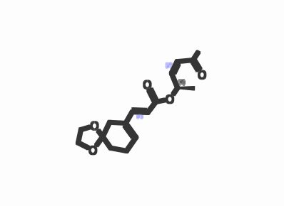 CC(=O)/C=C\[C@@H](C)OC(=O)/C=C/C1=CCCC2(C1)OCCO2